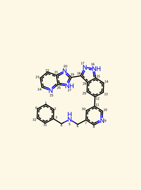 c1ccc(CNCc2cncc(-c3ccc4[nH]nc(-c5nc6cccnc6[nH]5)c4c3)c2)cc1